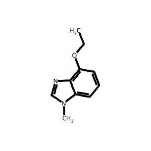 CCOc1cccc2c1ncn2C